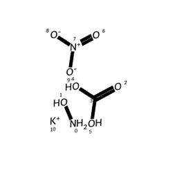 NO.O=C(O)O.O=[N+]([O-])[O-].[K+]